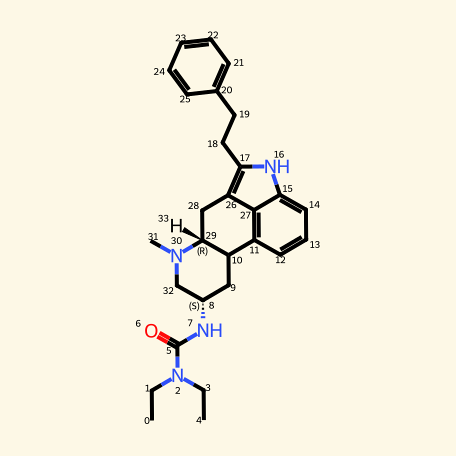 CCN(CC)C(=O)N[C@H]1CC2c3cccc4[nH]c(CCc5ccccc5)c(c34)C[C@H]2N(C)C1